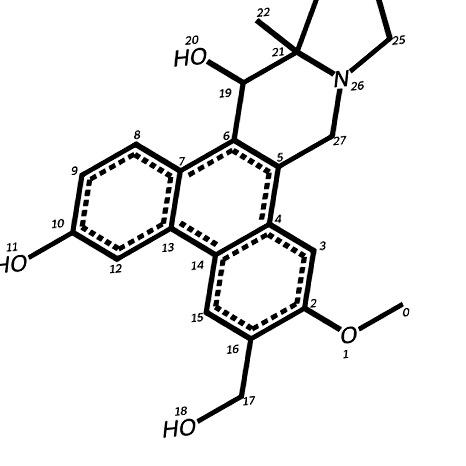 COc1cc2c3c(c4ccc(O)cc4c2cc1CO)C(O)C1(C)CCCN1C3